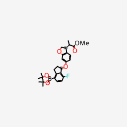 COC(=O)C(C)[C@@H]1COc2cc(O[C@@H]3CCc4c(B5OC(C)(C)C(C)(C)O5)ccc(F)c43)ccc21